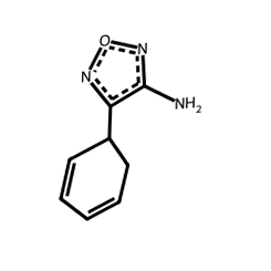 Nc1nonc1C1C=CC=CC1